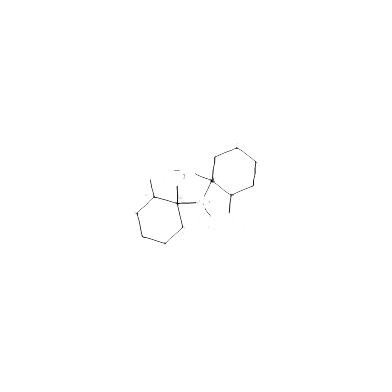 CC1CCCCC1(C)N(C)C1(C)CCCCC1C